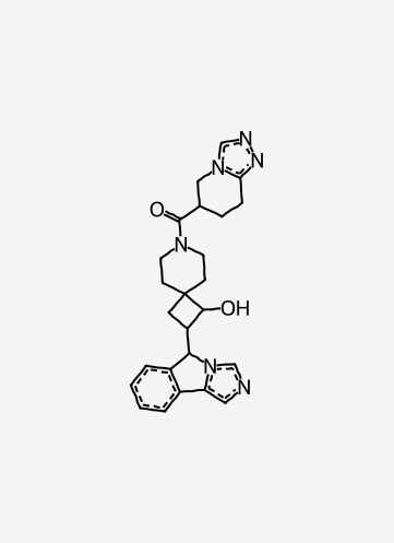 O=C(C1CCc2nncn2C1)N1CCC2(CC1)CC(C1c3ccccc3-c3cncn31)C2O